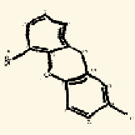 Brc1cccc2c1Oc1ccc(I)cc1C2